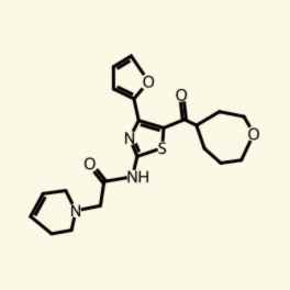 O=C(CN1CC=CCC1)Nc1nc(-c2ccco2)c(C(=O)C2CCCOCC2)s1